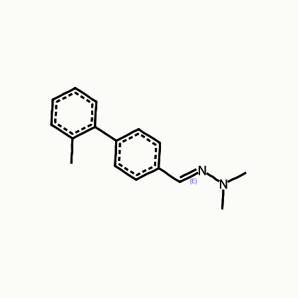 Cc1ccccc1-c1ccc(/C=N/N(C)C)cc1